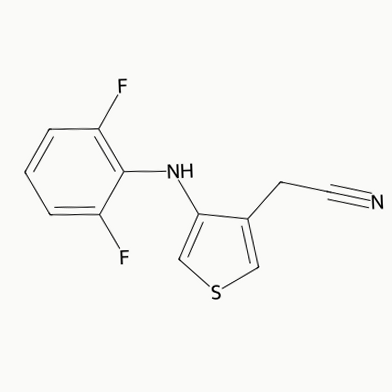 N#CCc1cscc1Nc1c(F)cccc1F